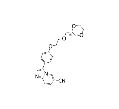 N#Cc1ccc2ncc(-c3ccc(OCCOC[C@H]4COCCO4)cc3)n2c1